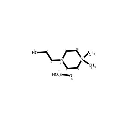 C[N+]1(C)CCN(CCO)CC1.O=S(=O)([O-])O